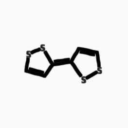 C1=CC(=C2C=CSS2)SS1